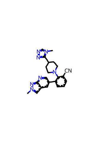 Cn1cc2cc(-c3cccc(C#N)c3N3CCC(c4nncn4C)CC3)cnc2n1